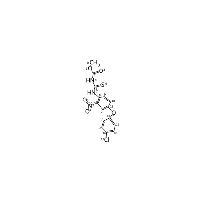 COC(=O)NC(=S)Nc1ccc(Oc2ccc(Cl)cc2)cc1[N+](=O)[O-]